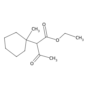 CCOC(=O)C(C(C)=O)C1(C)CCCCC1